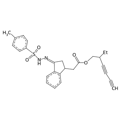 C#CC#CC(CC)COC(=O)CC1C/C(=N/NS(=O)(=O)c2ccc(C)cc2)c2ccccc21